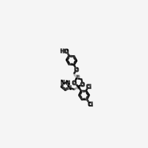 Oc1ccc(OC[C@@H]2CO[C@@](Cn3ccnn3)(c3ccc(Cl)cc3Cl)O2)cc1